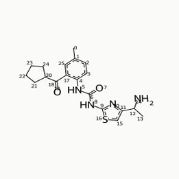 Cc1ccc(NC(=O)Nc2nc(C(C)N)cs2)c(C(=O)C2CCCC2)c1